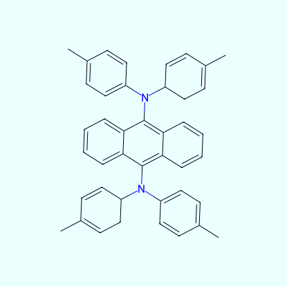 CC1=CCC(N(c2ccc(C)cc2)c2c3ccccc3c(N(c3ccc(C)cc3)C3C=CC(C)=CC3)c3ccccc23)C=C1